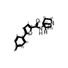 Cc1ccc(-c2ccc(C(=O)N[C@H]3CN4CCC3CC4)o2)cc1